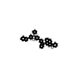 c1ccc(N2c3ccc(-c4ccc5ccccc5c4)cc3Oc3cc(-c4ccc5c(c4)c4ccccc4n5-c4cc5cc6oc7ccccc7c6c6ccc7cccc4c7c56)ccc32)cc1